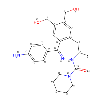 CC1Cc2cc(CO)c(CO)cc2C(c2ccc(N)cc2)=NN1C(=O)N1CCCCC1